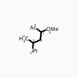 COC(CC(C)C(C)C)C(C)=O